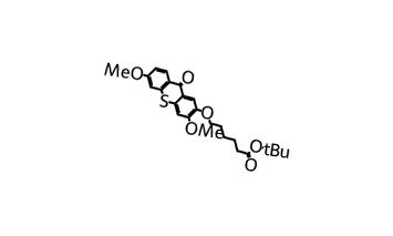 COc1ccc2c(=O)c3cc(OCCCCCC(=O)OC(C)(C)C)c(OC)cc3sc2c1